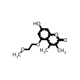 COCCOc1cc(O)cc2oc(=O)c(C)c(C)c12